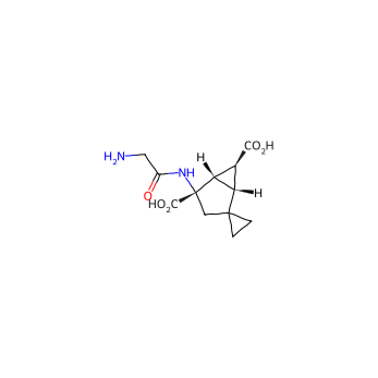 NCC(=O)N[C@@]1(C(=O)O)CC2(CC2)[C@H]2[C@H](C(=O)O)[C@H]21